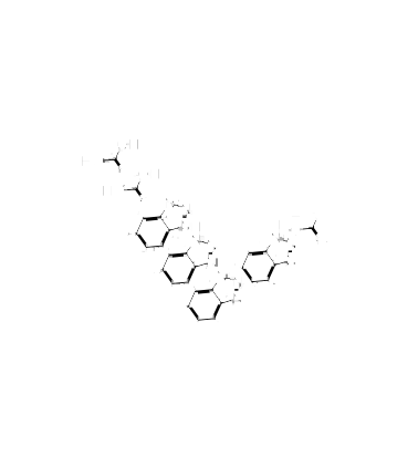 O=C(O)O.O=C(O)O.O=C(O)O.c1ccc2[nH]nnc2c1.c1ccc2[nH]nnc2c1.c1ccc2[nH]nnc2c1.c1ccc2[nH]nnc2c1